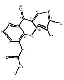 COC(=O)Cc1cccc2c(=O)c3ccc(C)c(C)c3oc12